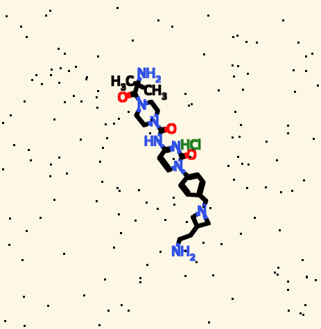 CC(C)(N)C(=O)N1CCN(C(=O)Nc2ccn(-c3ccc(CN4CC(CCN)C4)cc3)c(=O)n2)CC1.Cl